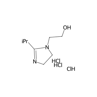 CC(C)C1=NCCN1CCO.Cl.Cl.Cl